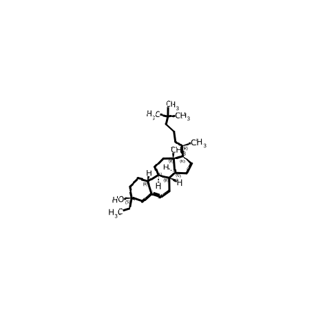 CC[C@]1(O)CC[C@H]2C(=CC[C@@H]3[C@@H]2CC[C@]2(C)[C@@H]([C@H](C)CCCC(C)(C)C)CC[C@@H]32)C1